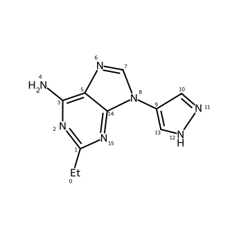 CCc1nc(N)c2ncn(-c3cn[nH]c3)c2n1